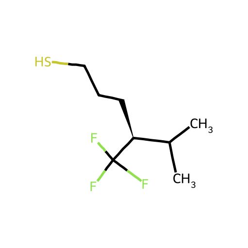 CC(C)[C@H](CCCS)C(F)(F)F